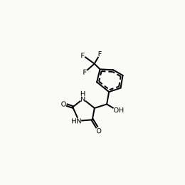 O=C1NC(=O)C(C(O)c2cccc(C(F)(F)F)c2)N1